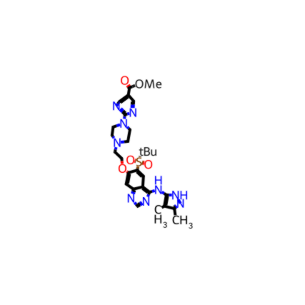 COC(=O)c1cnc(N2CCN(CCOc3cc4ncnc(Nc5[nH]nc(C)c5C)c4cc3S(=O)(=O)C(C)(C)C)CC2)nc1